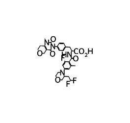 Cc1cc(N2CCOCC2CC(F)F)cc(F)c1C(=O)NC(Cc1ccc(-n2c(=O)c3c(n(C)c2=O)CCOC3)cc1)C(=O)O